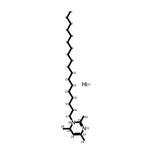 CCCCCCCCCCCCCCCCCCN1C(C)=NC(C)=CC1C.I